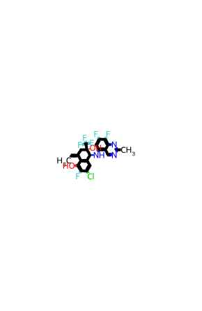 C/C=C1/C[C@@](O)(C(F)(F)F)[C@@H](Nc2cc(F)c(F)c3nc(C)ncc23)c2cc(Cl)c(F)c(O)c21